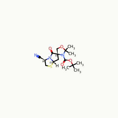 CC(C)(C)OC(=O)N1C(C)(C)OC[C@]12C[C@@H]1SC[C@@H](C#N)N1C2=O